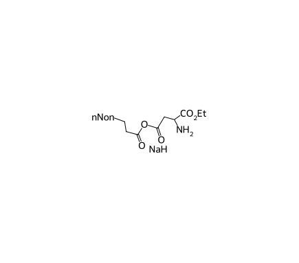 CCCCCCCCCCCC(=O)OC(=O)CC(N)C(=O)OCC.[NaH]